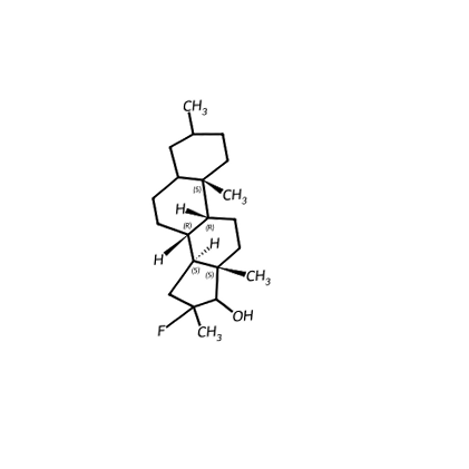 CC1CC[C@@]2(C)C(CC[C@@H]3[C@H]2CC[C@]2(C)C(O)C(C)(F)C[C@@H]32)C1